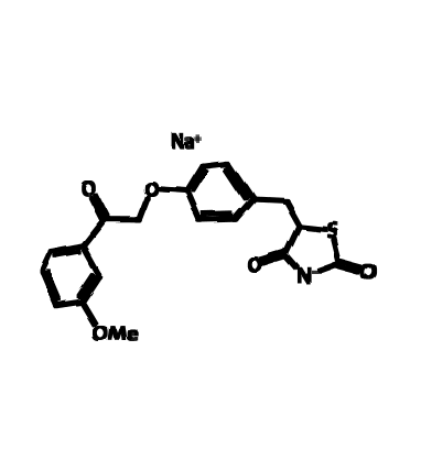 COc1cccc(C(=O)COc2ccc(CC3SC(=O)[N-]C3=O)cc2)c1.[Na+]